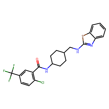 O=C(NC1CCC(CNc2nc3ccccc3s2)CC1)c1cc(C(F)(F)F)ccc1Cl